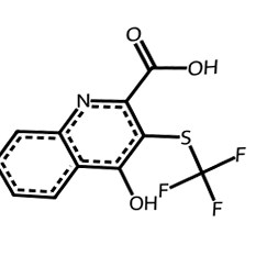 O=C(O)c1nc2ccccc2c(O)c1SC(F)(F)F